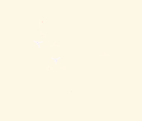 O=C(O)C1(CN2CC3(C2)CN(S(=O)(=O)c2cccc(C(F)(F)F)c2)c2cc(-c4cc(F)cc(OC(F)F)c4)ccc2O3)CC1